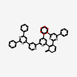 C=C1CC=CC(c2nc(-c3ccccc3)cc(-c3ccccc3)n2)=C1c1cc(-c2ccccc2)cc(-c2cc(-c3cc(-c4ccccc4)nc(-c4ccccc4)n3)ccn2)n1